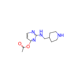 CC(=O)Oc1ccnc(NCC2CCNCC2)n1